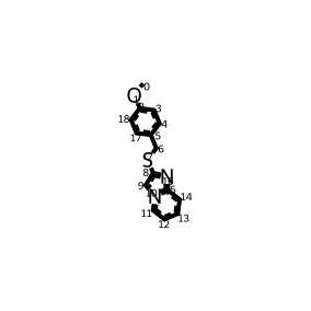 COc1ccc(CSc2cn3ccccc3n2)cc1